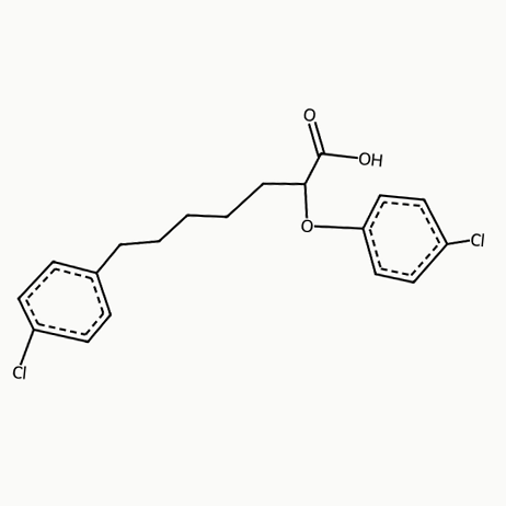 O=C(O)C(CCCCCc1ccc(Cl)cc1)Oc1ccc(Cl)cc1